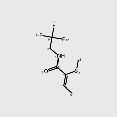 C/C=C(\SC)C(=O)NCC(F)(F)F